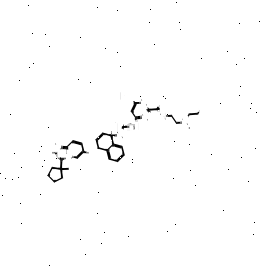 CN(CCO)CCNC(=O)c1nc(NC(=O)N[C@@]2(C=O)C=C[C@@H](Oc3ccc4nnc(C5(C)CCCC5)n4c3)c3ccccc32)cc(C(C)(C)C)n1